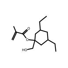 C=C(C)C(=O)OC1(CO)CC(CC)CC(CC)C1